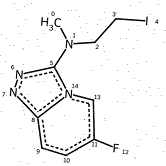 CN(CCI)c1nnc2ccc(F)cn12